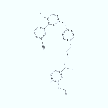 COc1ccc(Oc2ccc(CCNCC(O)c3ccc(O)c(NC=O)c3)cc2)cc1-c1cccc(C#N)c1